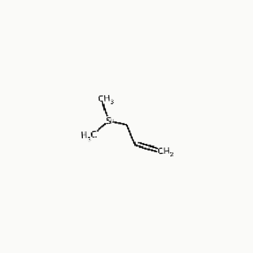 C=CC[Si](C)C